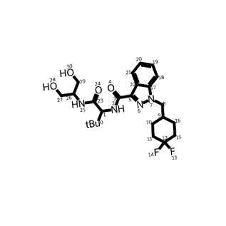 CC(C)(C)C(NC(=O)c1nn(CC2CCC(F)(F)CC2)c2ccccc12)C(=O)NC(CO)CO